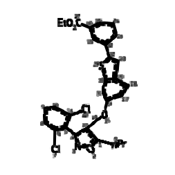 CCCc1onc(-c2c(Cl)cccc2Cl)c1COc1ccc2cc(-c3cccc(C(=O)OCC)c3)sc2c1